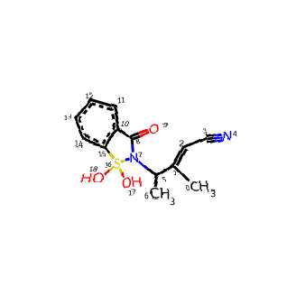 CC(=CC#N)C(C)N1C(=O)c2ccccc2S1(O)O